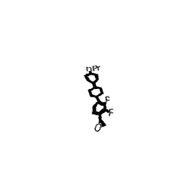 CCCC1C=CC(C2CCC(c3ccc(C4CO4)c(F)c3F)CC2)CC1